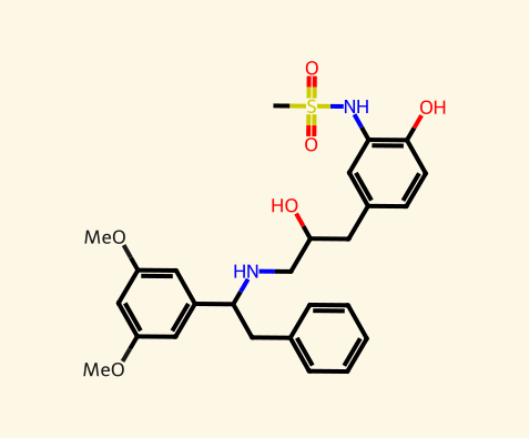 COc1cc(OC)cc(C(Cc2ccccc2)NCC(O)Cc2ccc(O)c(NS(C)(=O)=O)c2)c1